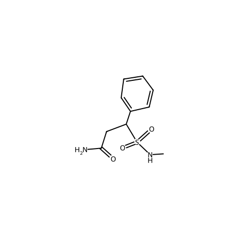 CNS(=O)(=O)C(CC(N)=O)c1ccccc1